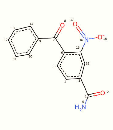 NC(=O)c1ccc(C(=O)c2ccccc2)c([N+](=O)[O-])c1